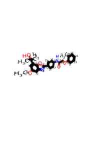 COc1cc(C(C)(C)O)c2oc(-c3ccc(NC(=O)COc4ccccc4C)cc3)nc2c1